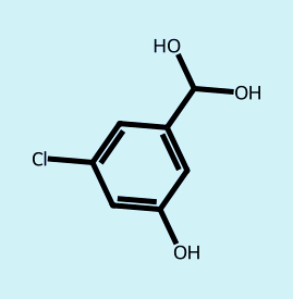 Oc1cc(Cl)cc(C(O)O)c1